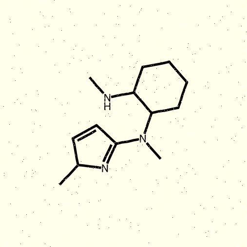 CNC1CCCCC1N(C)C1=NC(C)C=C1